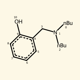 CCCCN(CCCC)Cc1ccccc1O